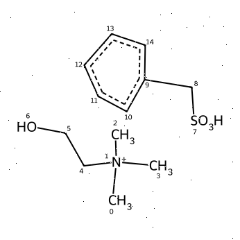 C[N+](C)(C)CCO.O=S(=O)(O)Cc1ccccc1